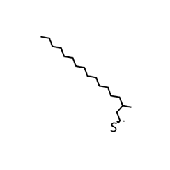 CCCCCCCCCCCCCCC(C)C[C]=S